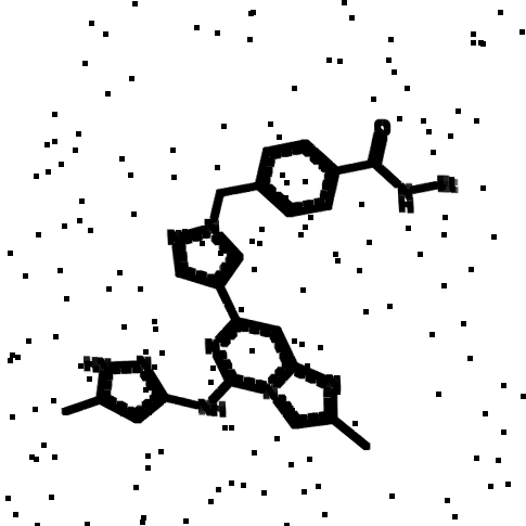 CCNC(=O)c1ccc(Cn2cc(-c3cc4nc(C)cn4c(Nc4cc(C)[nH]n4)n3)cn2)cc1